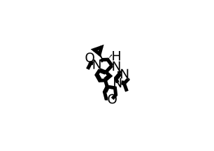 CC(=O)N1c2ccc(C3=CCOCC3)cc2C(Nc2cnc(C)cn2)[C@@H](C)[C@@H]1C1CC1